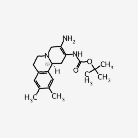 Cc1cc2c(cc1C)[C@@H]1CC(NC(=O)OC(C)(C)C)=C(N)CN1CC2